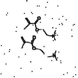 C=C(C)C(=O)OCC.C=C(C)C(=O)OCCN(C)C.CN(C)C